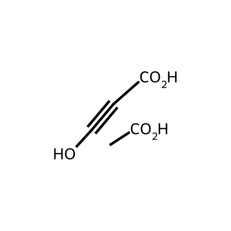 CC(=O)O.O=C(O)C#CO